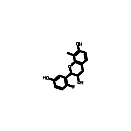 Cc1c(O)ccc2c1OC(c1cc(O)ccc1F)C(O)C2